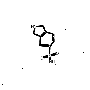 NS(=O)(=O)c1ccc2c(c1)CNC2